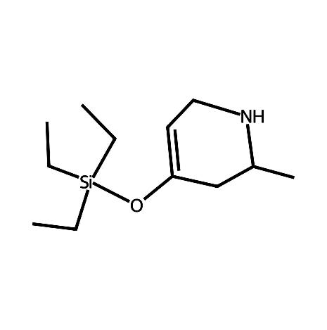 CC[Si](CC)(CC)OC1=CCNC(C)C1